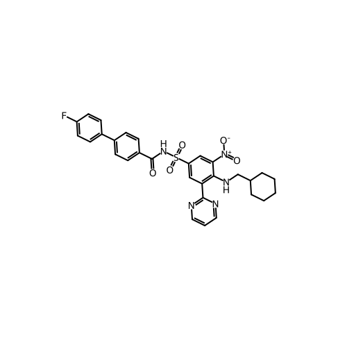 O=C(NS(=O)(=O)c1cc(-c2ncccn2)c(NCC2CCCCC2)c([N+](=O)[O-])c1)c1ccc(-c2ccc(F)cc2)cc1